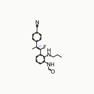 CCCNc1c(NC=O)cccc1/C(F)=C(\C)c1ccc(C#N)cc1